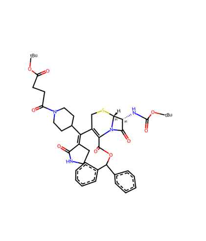 CC(C)(C)OC(=O)CCC(=O)N1CCC(C(=C2CCNC2=O)C2=C(C(=O)OC(c3ccccc3)c3ccccc3)N3C(=O)[C@@H](NC(=O)OC(C)(C)C)[C@H]3SC2)CC1